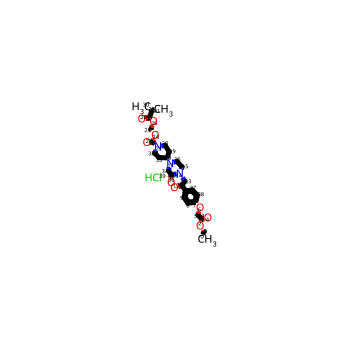 CCOC(=O)COc1ccc(C(=O)CN2CCN(C3CCN(C(=O)OCOC(=O)C(C)C)CC3)CC2=O)cc1.Cl